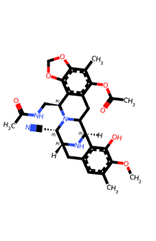 COc1c(C)cc2c(c1O)[C@H]1N[C@H](C2)[C@H](C#N)N2C1Cc1c(OC(C)=O)c(C)c3c(c1[C@@H]2CNC(C)=O)OCO3